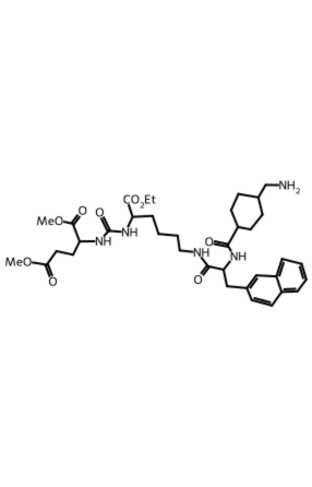 CCOC(=O)C(CCCCNC(=O)C(Cc1ccc2ccccc2c1)NC(=O)C1CCC(CN)CC1)NC(=O)NC(CCC(=O)OC)C(=O)OC